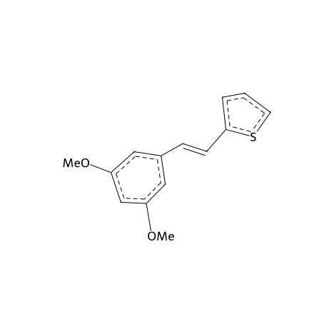 COc1cc(/C=C/c2cccs2)cc(OC)c1